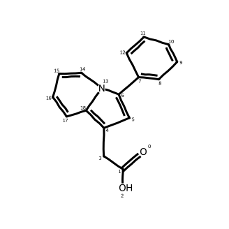 O=C(O)Cc1cc(-c2ccccc2)n2ccccc12